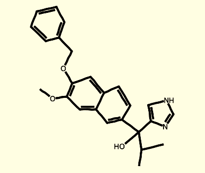 COc1cc2cc(C(O)(c3c[nH]cn3)C(C)C)ccc2cc1OCc1ccccc1